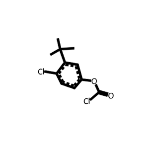 CC(C)(C)c1cc(OC(=O)Cl)ccc1Cl